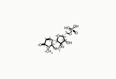 CN1C(=O)C=CN([C@@H]2O[C@H](COP(=O)(O)O)[C@@H](O)[C@H]2O)C1N